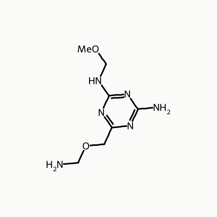 COCNc1nc(N)nc(COCN)n1